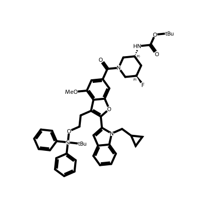 COc1cc(C(=O)N2C[C@H](F)C[C@@H](NC(=O)OC(C)(C)C)C2)cc2oc(-c3cc4ccccc4n3CC3CC3)c(CCO[Si](c3ccccc3)(c3ccccc3)C(C)(C)C)c12